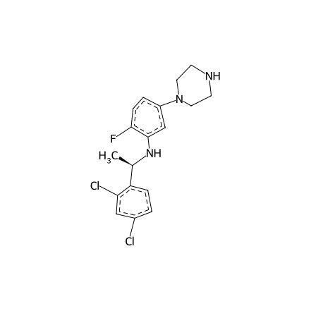 C[C@@H](Nc1cc(N2CCNCC2)ccc1F)c1ccc(Cl)cc1Cl